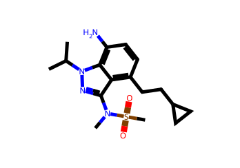 CC(C)n1nc(N(C)S(C)(=O)=O)c2c(CCC3CC3)ccc(N)c21